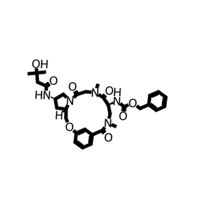 CN1C[C@H](NC(=O)OCc2ccccc2)C(=O)N(C)CC(=O)N2C[C@@H](NC(=O)CC(C)(C)O)C[C@H]2COc2cccc(c2)C1=O